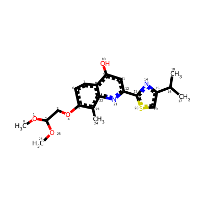 COC(COc1ccc2c(O)cc(-c3nc(C(C)C)cs3)nc2c1C)OC